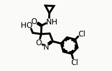 O=C(NC1CC1)C1(CO)CC(c2cc(Cl)cc(Cl)c2)=NO1